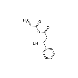 C=CC(=O)OC(=O)CCc1ccccc1.[LiH]